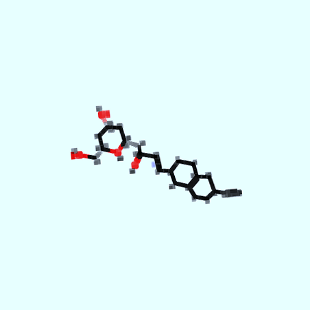 COC1CCC2=C(CCC(/C=C/C(=O)C[C@H]3C[C@@H](O)C[C@@H](CO)O3)C2)C1